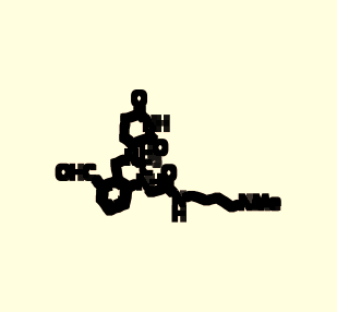 CNCCCCNC(=O)CNc1cccc(C=O)c1CN(C)C1CCC(=O)NC1=O